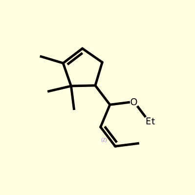 C/C=C\C(OCC)C1CC=C(C)C1(C)C